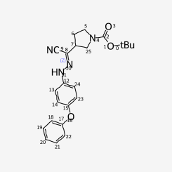 CC(C)(C)OC(=O)N1CCC(/C(C#N)=N/Nc2ccc(Oc3ccccc3)cc2)C1